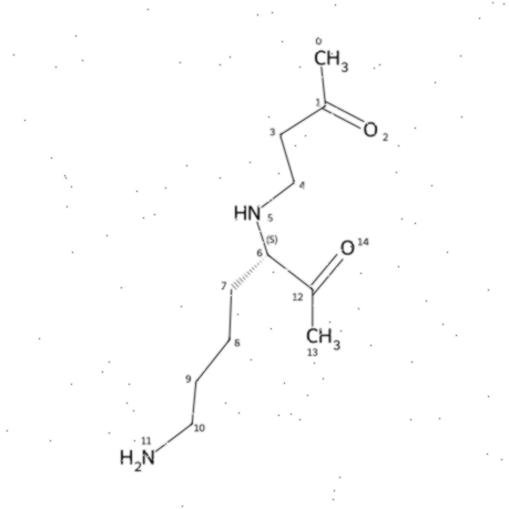 CC(=O)CCN[C@@H](CCCCN)C(C)=O